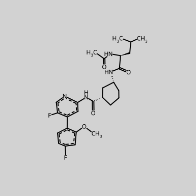 COc1cc(F)ccc1-c1cc(NC(=O)[C@H]2CCC[C@@H](NC(=O)[C@H](CC(C)C)NC(C)=O)C2)ncc1F